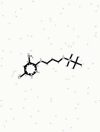 CC(C)(C)[Si](C)(C)OCCCSc1nnc(Cl)cc1N